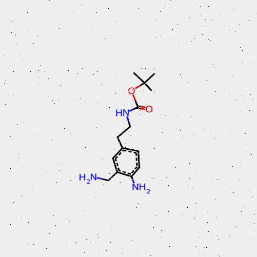 CC(C)(C)OC(=O)NCCc1ccc(N)c(CN)c1